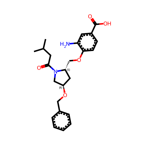 CC(C)CC(=O)N1C[C@H](OCc2ccccc2)C[C@H]1COc1ccc(C(=O)O)cc1N